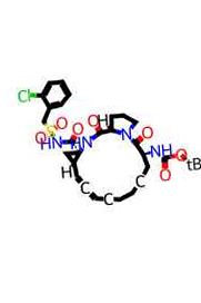 CC(C)(C)OC(=O)N[C@H]1CCCCCC=C=C[C@@H]2C[C@@]2(C(=O)NS(=O)(=O)Cc2ccccc2Cl)NC(=O)[C@@H]2CCCN2C1=O